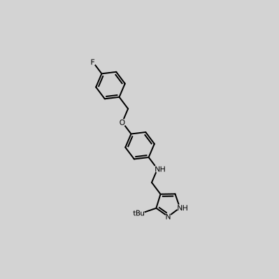 CC(C)(C)c1n[nH]cc1CNc1ccc(OCc2ccc(F)cc2)cc1